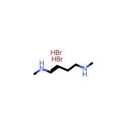 Br.Br.CNC=CCCNC